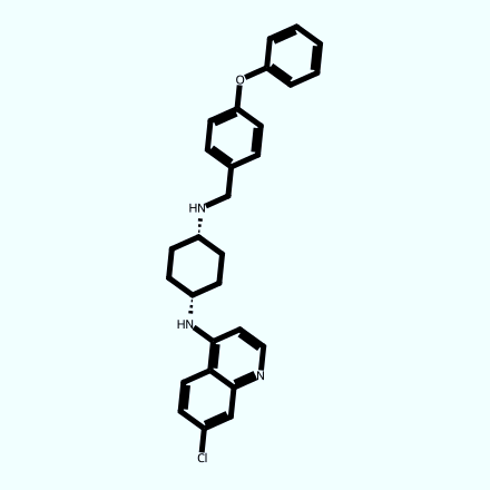 Clc1ccc2c(N[C@H]3CC[C@@H](NCc4ccc(Oc5ccccc5)cc4)CC3)ccnc2c1